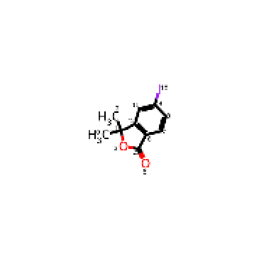 CC1(C)OC(=O)c2ccc(I)cc21